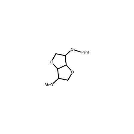 CCCC(C)OC1COC2C(OC)COC12